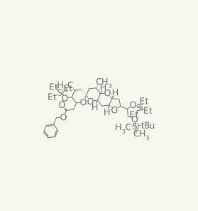 CC[Si](CC)(CC)OC(CO[Si](C)(C)C(C)(C)C)C1C[C@H]2O[C@@H]3[C@H](C[C@H]2O1)O[C@]1(C[C@H](C)C(O[Si](CC)(CC)CC)C(CC(=O)OCc2ccccc2)O1)C[C@@H]3C